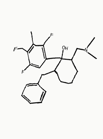 Cc1c(F)c(F)cc(C2(O)C(Cc3ccccc3)CCCC2CN(C)C)c1F